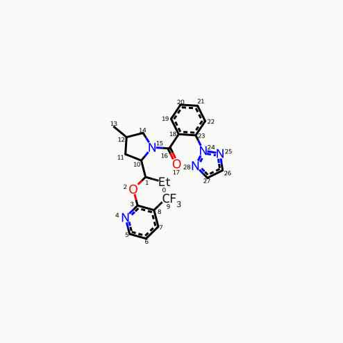 CCC(Oc1ncccc1C(F)(F)F)C1CC(C)CN1C(=O)c1ccccc1-n1nccn1